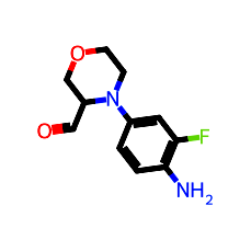 Nc1ccc(N2CCOCC2C=O)cc1F